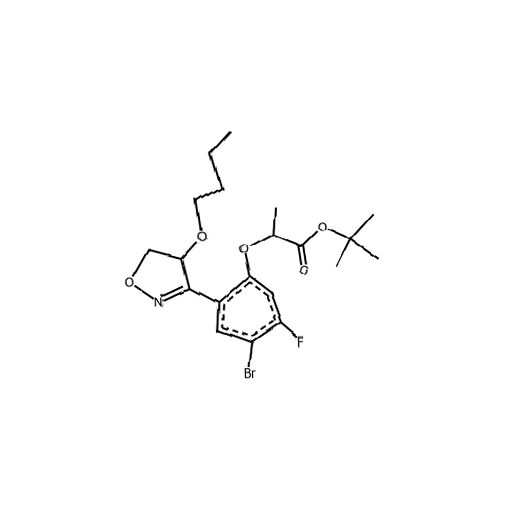 CCCCOC1CON=C1c1cc(Br)c(F)cc1OC(C)C(=O)OC(C)(C)C